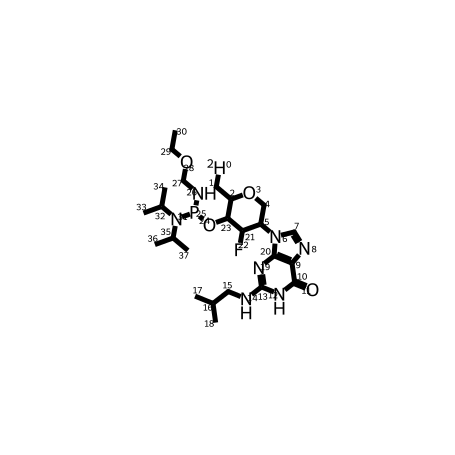 [2H]CC1OCC(n2cnc3c(=O)[nH]c(NCC(C)C)nc32)C(F)C1OP(NCOCC)N(C(C)C)C(C)C